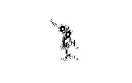 CCN(CC)CCNS(=O)(=O)c1cc(S(=O)(=O)c2ccc(F)cc2)ccc1C